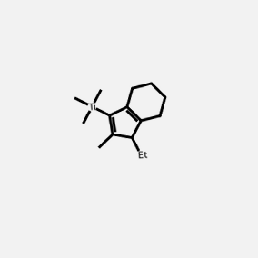 CCC1C(C)=[C]([Ti]([CH3])([CH3])[CH3])C2=C1CCCC2